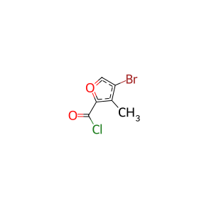 Cc1c(Br)coc1C(=O)Cl